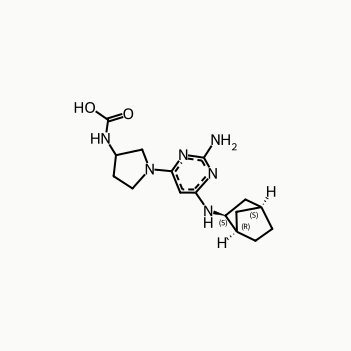 Nc1nc(N[C@H]2C[C@H]3CC[C@@H]2C3)cc(N2CCC(NC(=O)O)C2)n1